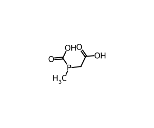 CP(CC(=O)O)C(=O)O